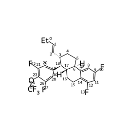 CC/C=C/[C@@H]1CC[C@H]2c3cc(F)cc(F)c3CC[C@@H]2[C@H]1c1cc(F)c(OC(F)(F)F)c(F)c1